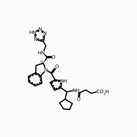 O=C(O)CCC(=O)NC(c1ccc(C(=O)N2c3ccccc3C[C@H]2C(=O)NCc2nn[nH]n2)[nH]1)C1CCCC1